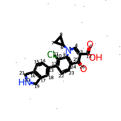 O=C(O)c1cn(C2CC2)c2c(Cl)c(-c3ccc4c(c3)CNC4)ccc2c1=O